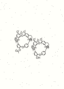 COc1cc2c3cc1Oc1c(OC)c(OC)cc4c1[C@@H](Cc1ccc(O)c(c1)Oc1ccc(cc1)C[C@@H]3N(C)CC2)N(C)CC4.COc1cc2c3cc1Oc1c(OC)c(OC)cc4c1[C@@H](Cc1ccc(OC(C)=O)c(c1)Oc1ccc(cc1)C[C@@H]3N(C)CC2)N(C)CC4